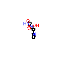 O=C1CCC(N2C(=O)c3cc(-c4cc5ccccc5[nH]4)ccc3C2O)C(=O)N1